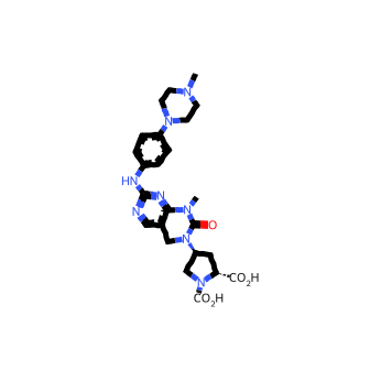 CN1CCN(c2ccc(Nc3ncc4c(n3)N(C)C(=O)N([C@H]3C[C@H](C(=O)O)N(C(=O)O)C3)C4)cc2)CC1